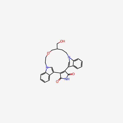 O=C1NC(=O)C2=C1c1cn(c3ccccc13)CCOCC(CO)CCn1cc2c2ccccc21